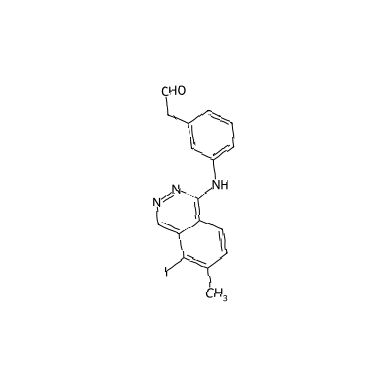 Cc1ccc2c(Nc3cccc(CC=O)c3)nncc2c1I